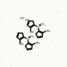 Cl.Cl.[CH2]=[Hf]([C]1=C(CCCC)C=CC1)[C]1=C(CCCC)C=CC1.[CH2]=[Hf]([C]1=C(CCCC)C=CC1)[C]1=C(CCCC)C=CC1